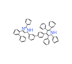 C1=C(c2ccccc2-c2ccccc2)N=C(c2ccccc2)NC1c1cccc(-c2ccc(C3=C(c4ccccc4)C(c4ccccc4)NC(c4ccccc4)=C3c3ccccc3)cc2)c1